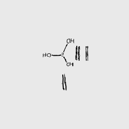 C=C.C=C.C=C.OB(O)O